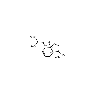 CC[C@H](C)[C@H]1CC[C@H]2[C@H](CC(OC)OC)C=CC[C@]12C